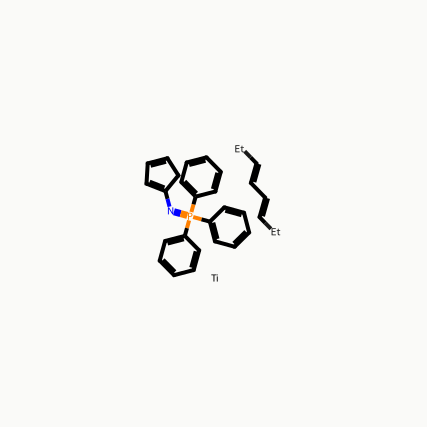 C1=CCC(N=P(c2ccccc2)(c2ccccc2)c2ccccc2)=C1.CCC=CC=CCC.[Ti]